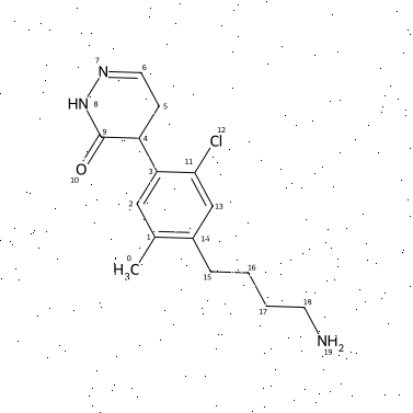 Cc1cc(C2CC=NNC2=O)c(Cl)cc1CCCCN